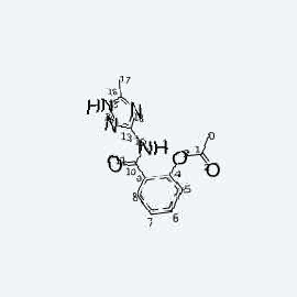 CC(=O)Oc1ccccc1C(=O)Nc1n[nH]c(C)n1